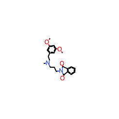 COc1cc(CCN(C)CCCN2C(=O)c3ccccc3C2=O)cc(OC)c1